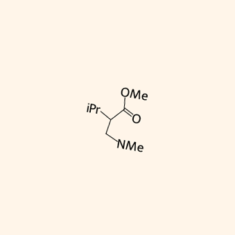 CNCC(C(=O)OC)C(C)C